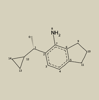 C[C@H](c1ccc2c(c1N)CCC2)C1CC1